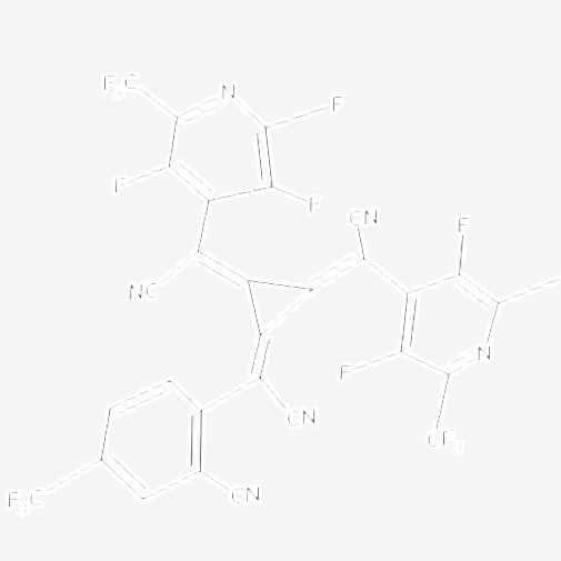 N#CC(=C1C(=C(\C#N)c2ccc(C(F)(F)F)cc2C#N)/C1=C(\C#N)c1c(F)c(F)nc(C(F)(F)F)c1F)c1c(F)c(F)nc(C(F)(F)F)c1F